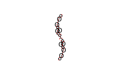 CC(Cc1ccc(OC(=O)c2ccc(OCCCCOCC3CC=CCC3)cc2)cc1)c1ccc2cc(OC(=O)c3ccc(OCCCCOCC4CC=CCC4)cc3)ccc2c1